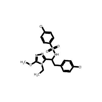 CCn1c(OC)nnc1C(Cc1ccc(Cl)cc1)NS(=O)(=O)c1ccc(Cl)cc1